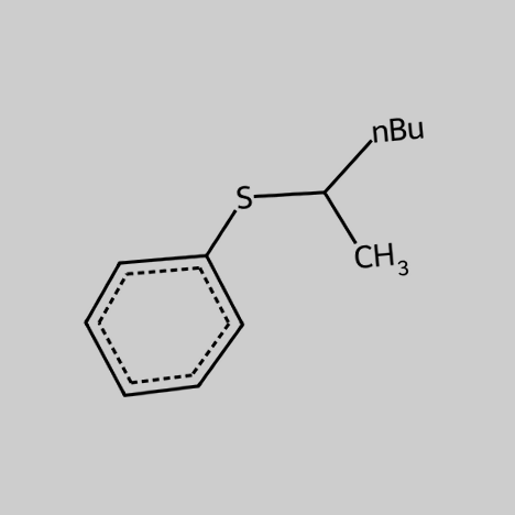 CCCCC(C)Sc1ccccc1